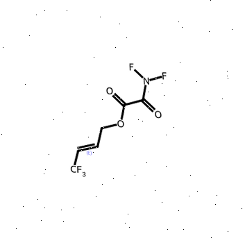 O=C(OC/C=C/C(F)(F)F)C(=O)N(F)F